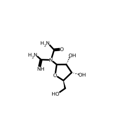 N=C(N)N(C(N)=O)C1O[C@H](CO)[C@@H](O)[C@H]1O